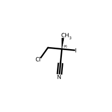 C[C@@](I)(C#N)CCl